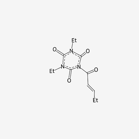 CCC=CC(=O)n1c(=O)n(CC)c(=O)n(CC)c1=O